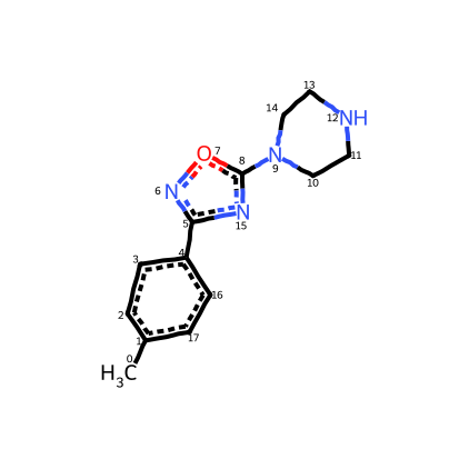 Cc1ccc(-c2noc(N3CCNCC3)n2)cc1